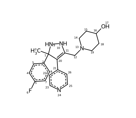 CC1(c2ccc(F)cc2)NNC(CN2CCC(O)CC2)=C1c1ccncc1